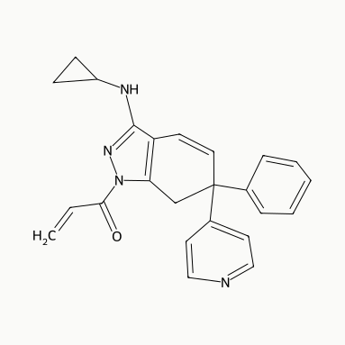 C=CC(=O)n1nc(NC2CC2)c2c1CC(c1ccccc1)(c1ccncc1)C=C2